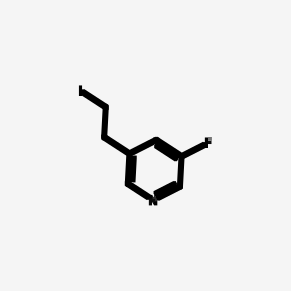 Fc1cncc(CCI)c1